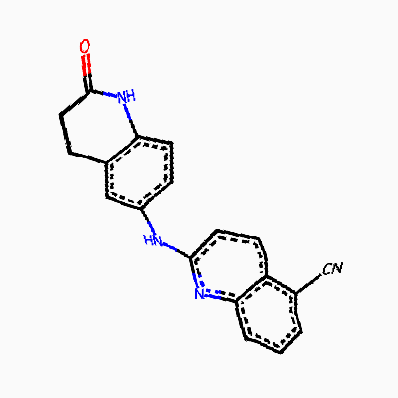 N#Cc1cccc2nc(Nc3ccc4c(c3)CCC(=O)N4)ccc12